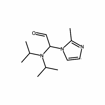 Cc1n[c]cn1C(C=O)N(C(C)C)C(C)C